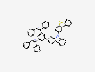 C(=C(\c1ccccc1)c1cc(/C(=C/c2ccccc2)c2ccccc2)cc(-c2ccc3c4ccccc4n(-c4ccc5sc6ccccc6c5c4)c3c2)c1)/c1ccccc1